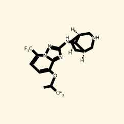 CC(Oc1ccc(C(F)(F)F)n2nc(N[C@@H]3[C@@H]4CC[C@H]3CNC4)nc12)C(F)(F)F